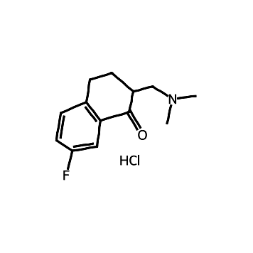 CN(C)CC1CCc2ccc(F)cc2C1=O.Cl